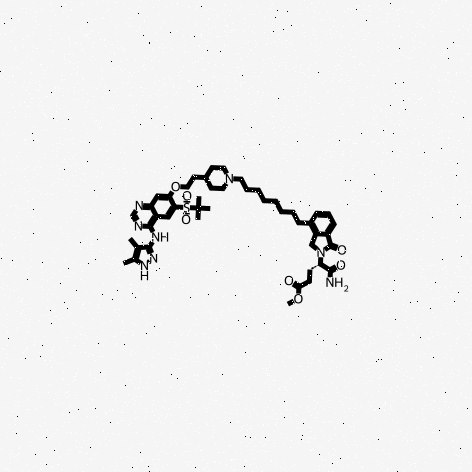 COC(=O)CC[C@@H](C(N)=O)N1Cc2c(CCCCCCCCN3CCC(CCOc4cc5ncnc(Nc6n[nH]c(C)c6C)c5cc4S(=O)(=O)C(C)(C)C)CC3)cccc2C1=O